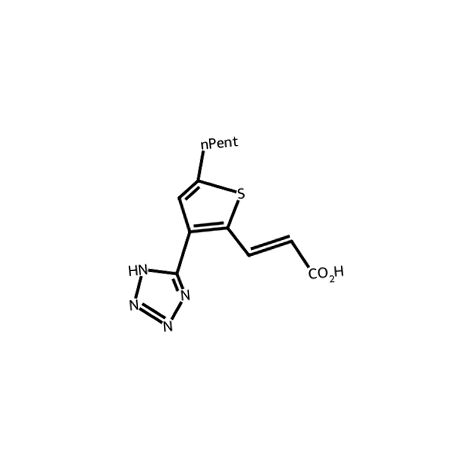 CCCCCc1cc(-c2nnn[nH]2)c(/C=C/C(=O)O)s1